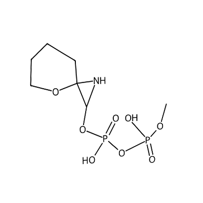 COP(=O)(O)OP(=O)(O)OC1NC12CCCCO2